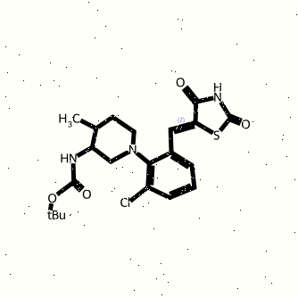 CC1CCN(c2c(Cl)cccc2/C=C2\SC(=O)NC2=O)CC1NC(=O)OC(C)(C)C